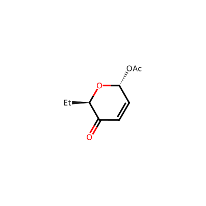 CC[C@H]1O[C@H](OC(C)=O)C=CC1=O